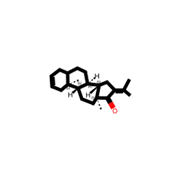 CC(C)=C1C[C@H]2[C@@H]3CCC4CC=CC[C@]4(C)[C@H]3CC[C@]2(C)C1=O